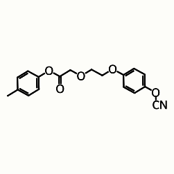 Cc1ccc(OC(=O)COCCOc2ccc(OC#N)cc2)cc1